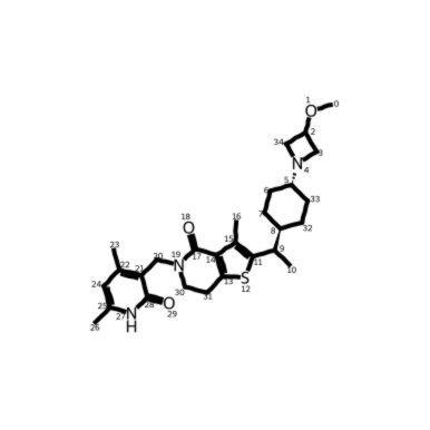 COC1CN([C@H]2CC[C@H](C(C)c3sc4c(c3C)C(=O)N(Cc3c(C)cc(C)[nH]c3=O)CC4)CC2)C1